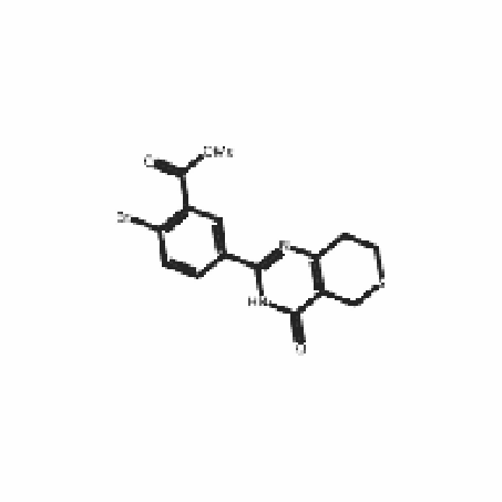 COC(=O)c1cc(-c2nc3c(c(=O)[nH]2)CSCC3)ccc1Br